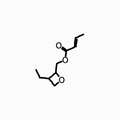 CC=CC(=O)OCC1OCC1CC